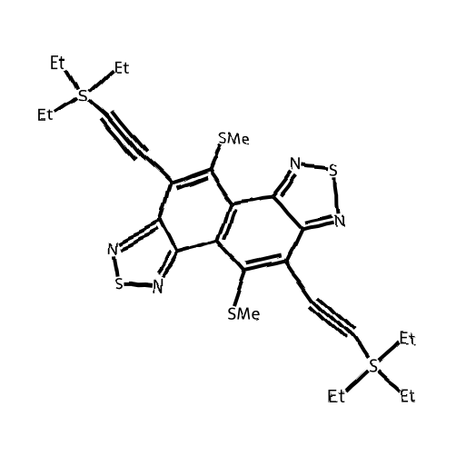 CCS(C#Cc1c(SC)c2c3nsnc3c(C#CS(CC)(CC)CC)c(SC)c2c2nsnc12)(CC)CC